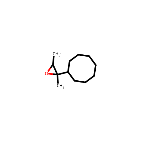 [CH2]C1OC1(C)C1CCCCCCC1